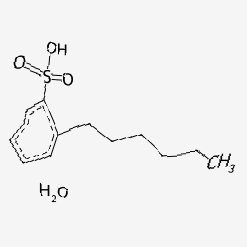 CCCCCCc1ccccc1S(=O)(=O)O.O